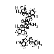 Cn1c(C(=NOCc2cc3c(Cl)cccc3n2C(=O)OC(C)(C)C)c2ccncc2)nc2c1c(=O)n(Cc1cc3c(Cl)cccc3n1C(=O)OC(C)(C)C)c(=O)n2C